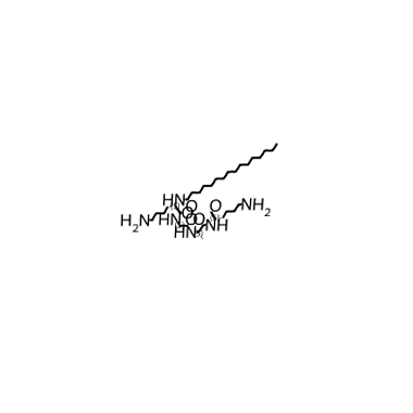 CCCCCCCCCCCCCCCC(=O)N[C@@H](CCCCN)C(=O)N[C@@H](C)C(=O)N[C@@H](C)C(=O)N[C@H](C=O)CCCCN